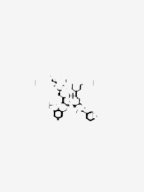 CCCC(CCC)CCC(NC(=O)c1cccnc1)C(=O)N[C@@H](Cc1cc(F)cc(F)c1)[C@@H](O)[C@H](O)CC(=O)NCC(C)C